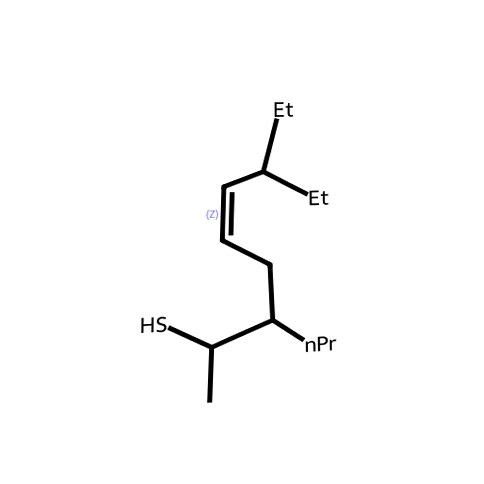 CCCC(C/C=C\C(CC)CC)C(C)S